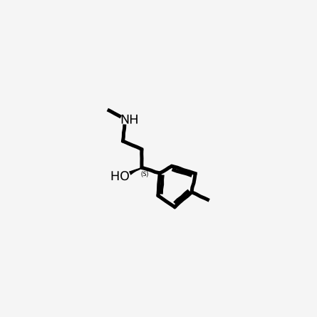 CNCC[C@H](O)c1ccc(C)cc1